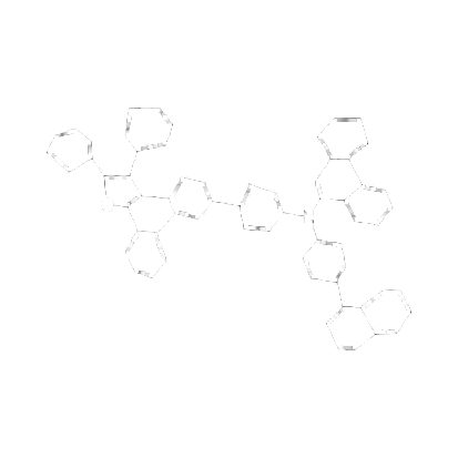 c1ccc(-c2oc3c4ccccc4c4cc(-c5ccc(N(c6ccc(-c7cccc8ccccc78)cc6)c6cc7ccccc7c7ccccc67)cc5)ccc4c3c2-c2ccccc2)cc1